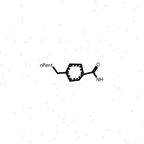 CCCCCCc1ccc(C([NH])=O)cc1